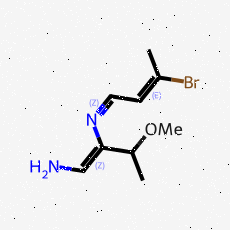 COC(C)C(=C/N)/N=C\C=C(/C)Br